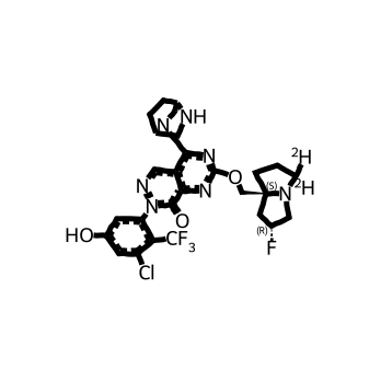 [2H]C1([2H])CC[C@@]2(COc3nc(N4CC5CCC4CN5)c4cnn(-c5cc(O)cc(Cl)c5C(F)(F)F)c(=O)c4n3)C[C@@H](F)CN12